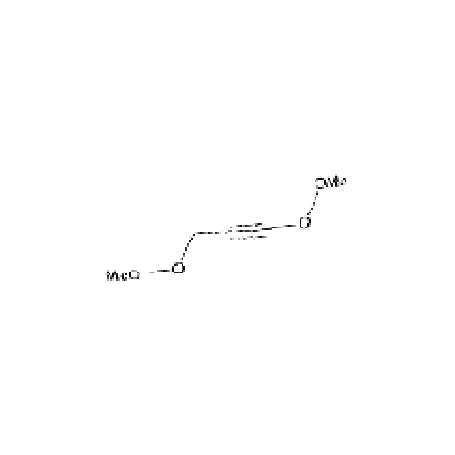 COOC#CCOOC